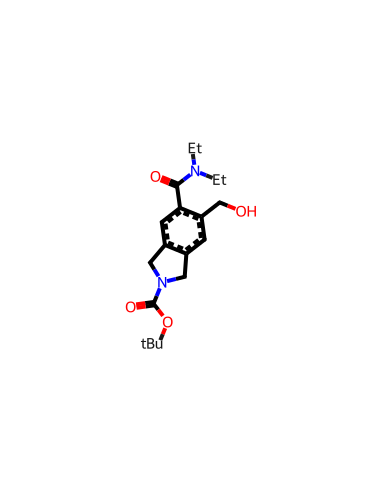 CCN(CC)C(=O)c1cc2c(cc1CO)CN(C(=O)OC(C)(C)C)C2